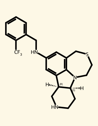 FC(F)(F)c1ccccc1CNc1cc2c3c(c1)[C@@H]1CNCC[C@@H]1N3CCSC2